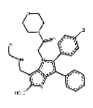 CC(C)CNCc1c(C(=O)O)sc2c(-c3ccccc3)c(-c3ccc(Cl)cc3)n(CC(=O)N3CCOCC3)c12